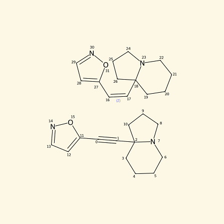 C(#CC12CCCCN1CCC2)c1ccno1.C(=C/C12CCCCN1CCC2)/c1ccno1